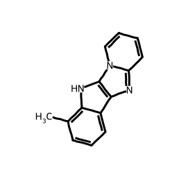 Cc1cccc2c1[nH]c1c2nc2ccccn21